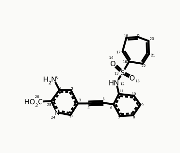 Nc1cc(C#Cc2ccccc2NS(=O)(=O)C2=CC=CC=C=C2)cnc1C(=O)O